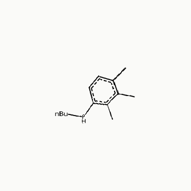 CCCCPc1ccc(C)c(C)c1C